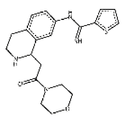 N=C(Nc1ccc2c(c1)C(CC(=O)N1CCOCC1)NCC2)c1cccs1